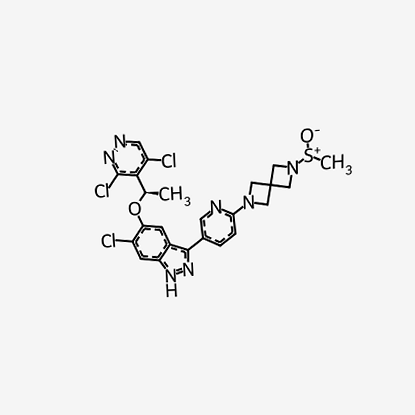 C[C@@H](Oc1cc2c(-c3ccc(N4CC5(C4)CN([S+](C)[O-])C5)nc3)n[nH]c2cc1Cl)c1c(Cl)cnnc1Cl